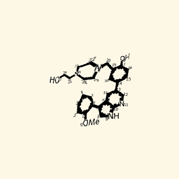 COc1ccccc1-c1c[nH]c2ncc(-c3ccc(O)c(CN4CCN(CCO)CC4)c3)cc12